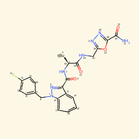 CC(C)(C)[C@H](NC(=O)c1nn(Cc2ccc(F)cc2)c2ccccc12)C(=O)NCc1nnc(C(N)=O)o1